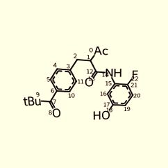 CC(=O)C(Cc1ccc(C(=O)C(C)(C)C)cc1)C(=O)Nc1cc(O)ccc1F